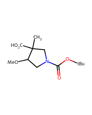 COC1CN(C(=O)OC(C)(C)C)CC1(C)C(=O)O